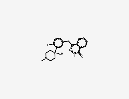 CN1CC[P](O)(c2cc(Cc3n[nH]c(=O)c4ccccc34)ccc2F)CC1